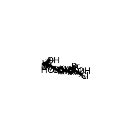 Cc1nnn(C[C@H](O)COc2ccc(C(C)(C)c3ccc(OC[C@H](O)CCl)c(Br)c3)cc2)c1CO